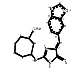 COC1CCCCC(NC2=N/C(=C\c3ccc4ncoc4c3)C(=O)N2)C1